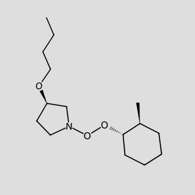 CCCCO[C@@H]1CCN(OO[C@H]2CCCC[C@@H]2C)C1